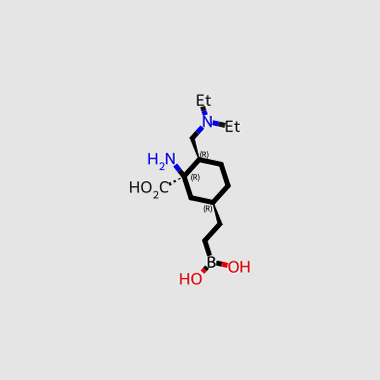 CCN(CC)C[C@H]1CC[C@@H](CCB(O)O)C[C@]1(N)C(=O)O